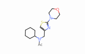 CC(=O)N(Cc1csc(N2CCOCC2)n1)C1CCCCC1